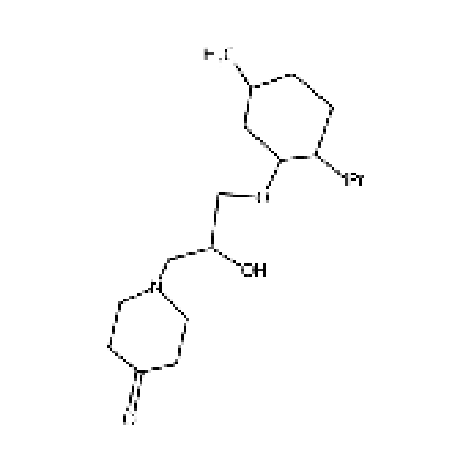 CC1CCC(C(C)C)C(OCC(O)CN2CCC(=O)CC2)C1